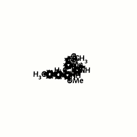 COc1cc(N2CCC(N3CCN(C)CC3)CC2)c(C)cc1Nc1nc(Nc2cccc3c2N(S(C)(=O)=O)CC3)c2cc[nH]c2n1